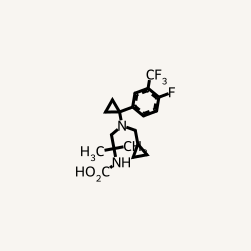 CC(C)(CN(CC1CC1)C1(c2ccc(F)c(C(F)(F)F)c2)CC1)NC(=O)O